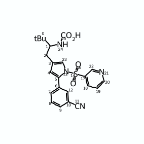 CC(C)(C)C(Cc1cc(-c2cccc(C#N)c2)n(S(=O)(=O)c2cccnc2)c1)NC(=O)O